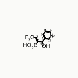 O=C(O)C(=CC(F)(F)F)C(O)c1cccnc1